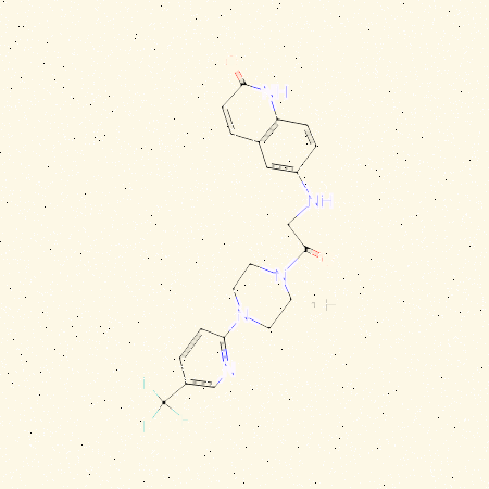 C[C@@H]1CN(c2ccc(C(F)(F)F)cn2)CCN1C(=O)CNc1ccc2[nH]c(=O)ccc2c1